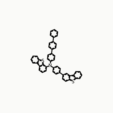 c1ccc(-c2ccc(-c3ccc(N(c4ccc(-c5ccc6sc7ccccc7c6c5)cc4)c4cccc5c4sc4ccccc45)cc3)cc2)cc1